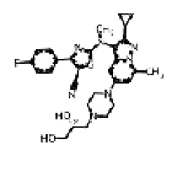 Cc1cc(N2CCN(C[C@@H](O)CO)CC2)cc2c(N(C)c3nc(-c4ccc(F)cc4)c(C#N)s3)c(C3CC3)nn12